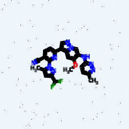 COc1cc2c(-c3ccc(C#N)c(-n4nc(C(F)F)cc4C)n3)cnn2cc1Nc1ccc(C)nn1